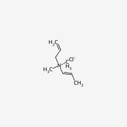 C=CC[N+](C)(C)C=CC.[Cl-]